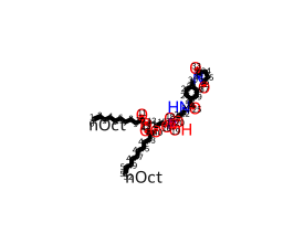 CCCCCCCC/C=C\CCCCCCCC(=O)OC[C@H](COP(=O)(O)OCCNC(=O)C1CCC(CN2C(=O)CCC2=O)CC1)OC(=O)CCCCCCC/C=C\CCCCCCCC